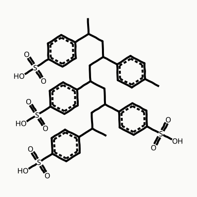 Cc1ccc(C(CC(C)c2ccc(S(=O)(=O)O)cc2)CC(CC(CC(C)c2ccc(S(=O)(=O)O)cc2)c2ccc(S(=O)(=O)O)cc2)c2ccc(S(=O)(=O)O)cc2)cc1